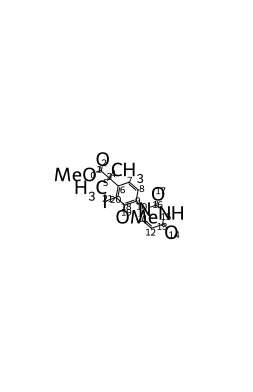 COC(=O)C(C)(C)c1ccc(-n2ccc(=O)[nH]c2=O)c(OC)c1I